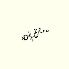 CC(C)(C)CC(N)c1ccc(C(=O)Nc2ccncc2)cc1